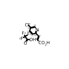 O=C(O)C(F)(F)F.O=C(O)C=Cc1ccc(Cl)cn1